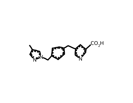 Cc1cnn(Cc2ccc(Cc3cncc(C(=O)O)c3)cc2)c1